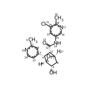 Cc1cc([C@H]2[C@H]3O[C@H](C[C@@H]3O)[C@H]2C(=O)Nc2cnc(C)c(Cl)c2)ccn1